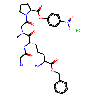 CN(CC(=O)N1CCC[C@H]1C(=O)Oc1ccc([N+](=O)[O-])cc1)C(=O)[C@H](CCCC(N)C(=O)OCc1ccccc1)NC(=O)CN.Cl